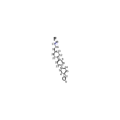 COCc1ccc(-c2ccc([C@H]3CC[C@H](CC/C=C/F)CC3)cc2)cc1